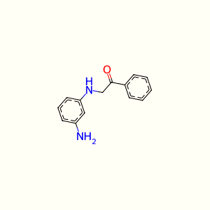 Nc1cccc(NCC(=O)c2ccccc2)c1